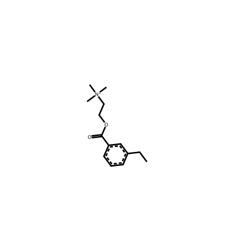 CCc1cccc(C(=O)OCC[N+](C)(C)C)c1